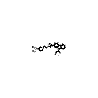 C=CC(=O)n1c2ccccc2c2ccc(-c3cn(CCN4CCC(N(C)C)C4)nn3)cc21